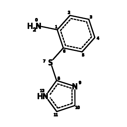 Nc1ccccc1Sc1ncc[nH]1